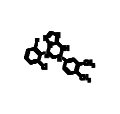 Cc1ccc([C@@H]2C[C@H](c3c(F)cccc3Cl)n3ncnc3N2)cc1C